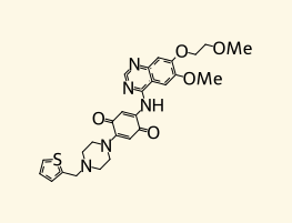 COCCOc1cc2ncnc(NC3=CC(=O)C(N4CCN(Cc5cccs5)CC4)=CC3=O)c2cc1OC